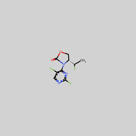 CC(F)[C@H]1COC(=O)N1c1nc(F)ncc1F